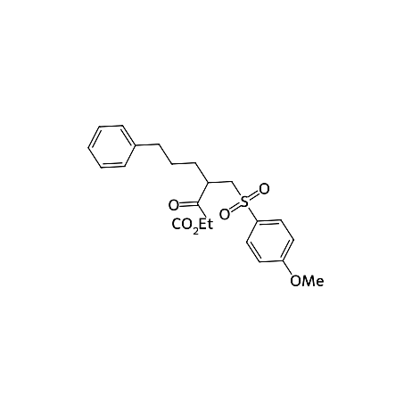 CCOC(=O)C(=O)C(CCCc1ccccc1)CS(=O)(=O)c1ccc(OC)cc1